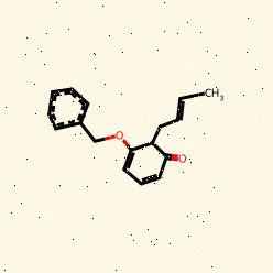 CC=CCC1C(=O)[C]=CC=C1OCc1ccccc1